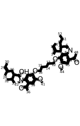 C/C=C(/C)CC(/C=N\c1cc(OCCCCCOc2cc(N(C)C(O)C(C/C(C)=C\C)C(C)C)c(C(C)=O)cc2OC)c(OC)cc1C(C)=O)CCC